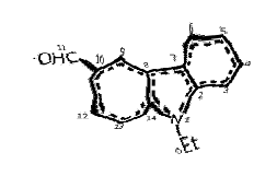 CCn1c2ccccc2c2cc([C]=O)ccc21